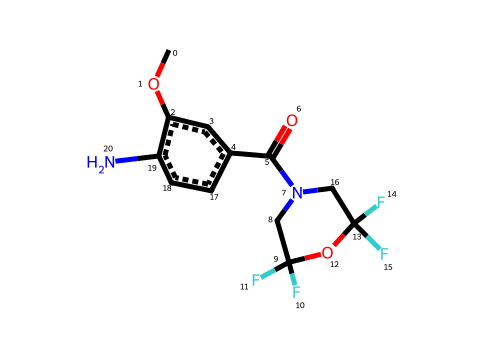 COc1cc(C(=O)N2CC(F)(F)OC(F)(F)C2)ccc1N